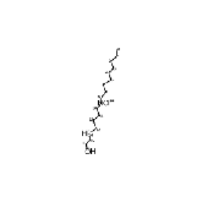 CCCCCCCCCCCCCCPCCO.Cl